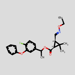 CC(C)(C)CON=C[C@@H]1[C@H](C(=O)OC(C#N)c2ccc(F)c(Oc3ccccc3)c2)C1(C)C